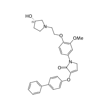 COc1cc(N2CC=C(Oc3ccc(-c4ccccc4)cc3)C2=O)ccc1OCCN1CC[C@H](O)C1